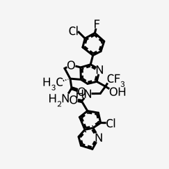 C[C@]1(C(N)=O)COc2c1cc(C(O)(CNC(=O)c1cc(Cl)c3ncccc3c1)C(F)(F)F)nc2-c1ccc(F)c(Cl)c1